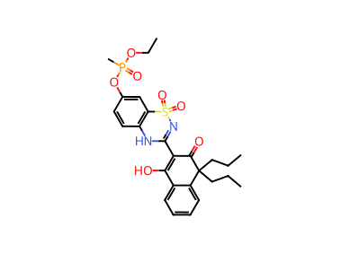 CCCC1(CCC)C(=O)C(C2=NS(=O)(=O)c3cc(OP(C)(=O)OCC)ccc3N2)=C(O)c2ccccc21